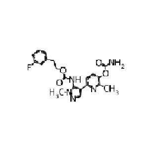 Cc1nc(-c2cnn(C)c2NC(=O)OCCc2cccc(F)c2)ccc1OC(N)=O